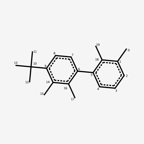 Cc1cccc(-c2ccc(C(C)(C)C)c(C)c2C)c1C